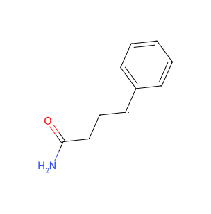 NC(=O)CC[CH]c1ccccc1